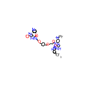 CC(C)N(C)[C@@H]1CC[C@H](N2CC[C@H](Nc3ncnc4ccc(C(F)(F)F)cc34)C2=O)[C@H](NC(=O)CCCOCC2CCC(COCCNC(=O)[C@H]3CC(=O)N(C)[C@@H]3c3cccnc3)CC2)C1